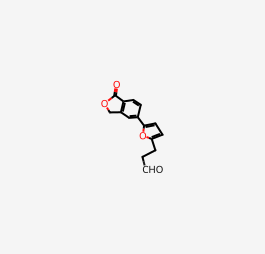 O=CCCc1ccc(-c2ccc3c(c2)COC3=O)o1